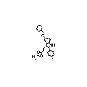 COC(=O)CCc1c(-c2ccc(F)cc2)[nH]c2ccc(OCc3ccccc3)cc12